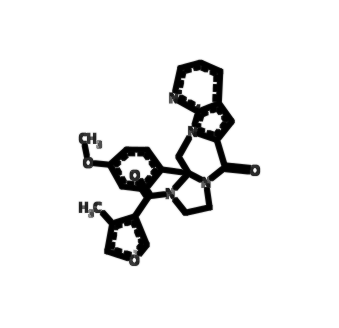 COc1ccc(C23Cn4c(cc5cccnc54)C(=O)N2CCN3C(=O)c2cocc2C)cc1